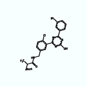 CCCCCC(C(=O)NCc1ccc(Cl)c(-c2nc(O)nc(-c3cccc(C(C)C)c3)n2)c1)C(F)(F)F